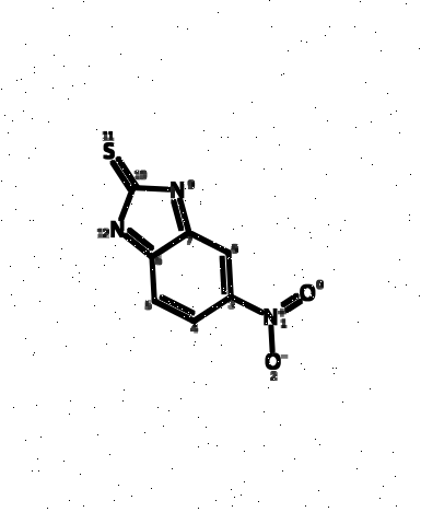 O=[N+]([O-])c1ccc2c(c1)=NC(=S)N=2